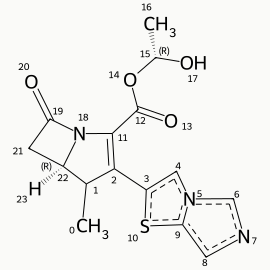 CC1C(c2cn3cncc3s2)=C(C(=O)O[C@H](C)O)N2C(=O)C[C@H]12